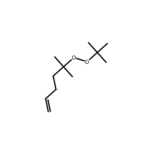 C=C[CH]CC(C)(C)OOC(C)(C)C